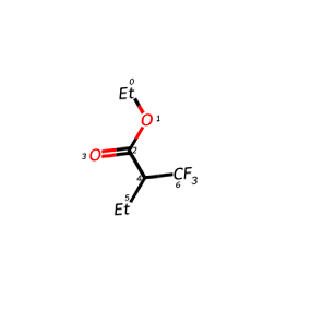 CCOC(=O)C(CC)C(F)(F)F